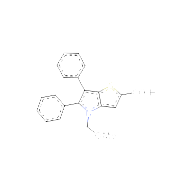 COCn1c(-c2ccccc2)c(-c2ccccc2)c2sc(C(=O)O)cc21